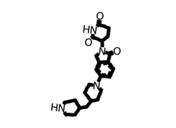 O=C1CCC(N2Cc3cc(N4CCC(CC5CCNCC5)CC4)ccc3C2=O)C(=O)N1